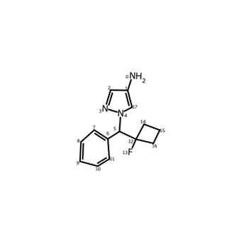 Nc1cnn(C(c2ccccc2)C2(F)CCC2)c1